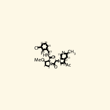 CO[C@@H]1CCN(C(=O)Cn2cc(C(C)=O)c3cc(C)ncc32)[C@@H]1C(=O)NCc1cccc(Cl)c1F